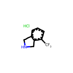 Cl.FC(F)(F)c1cccc2c1CNC2